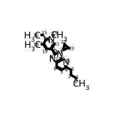 CCCCc1ccc2nc(C3=CN(C)[C@H](CC)C(C)=C3)n(C3CC3)c2n1